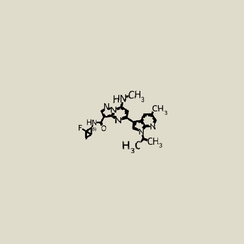 CNc1cc(-c2cn(C(C)C)c3ncc(C)cc23)nc2c(C(=O)N[C@H]3C4CC43F)cnn12